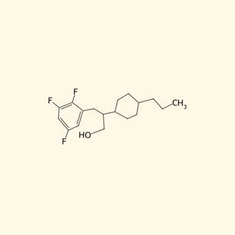 CCCC1CCC(C(CO)Cc2cc(F)cc(F)c2F)CC1